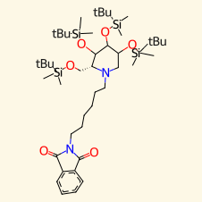 CC(C)(C)[Si](C)(C)OC[C@@H]1C(O[Si](C)(C)C(C)(C)C)C(O[Si](C)(C)C(C)(C)C)C(O[Si](C)(C)C(C)(C)C)CN1CCCCCCN1C(=O)c2ccccc2C1=O